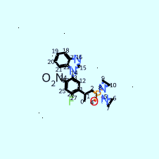 CC(CP(=O)(N1CC1)N1CC1)c1cc(-n2cnc3ccccc32)c([N+](=O)[O-])cc1F